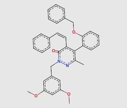 COc1cc(Cn2nc(C)c(-c3ccccc3OCc3ccccc3)c(C=Cc3ccccc3)c2=O)cc(OC)c1